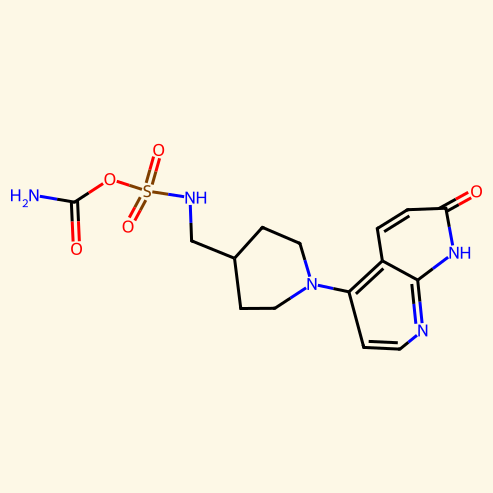 NC(=O)OS(=O)(=O)NCC1CCN(c2ccnc3[nH]c(=O)ccc23)CC1